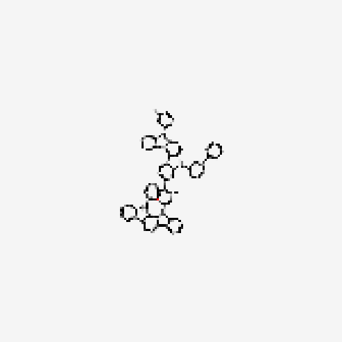 Cc1cccc(-n2c3ccccc3c3c4c5ccc(-c6ccc(-n7c8ccccc8c8ccc9c%10ccccc%10n(-c%10ccccc%10)c9c87)cc6C)cc5n(-c5cccc(-c6ccccc6)c5)c4ccc32)c1